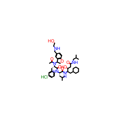 CC(=O)N(C1COc2ccc(CNCCO)cc21)[C@@H](Cc1ccccc1)C(=O)N[C@@H](CC(C)C)C(=O)NC(CC1CCCCC1)C(O)CC(=O)NCC(C)C.Cl